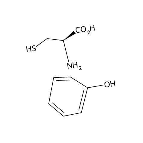 N[C@@H](CS)C(=O)O.Oc1ccccc1